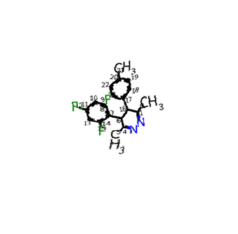 CC1=NN=C(C)C(c2c(F)cc(F)cc2F)C1c1ccc(C)cc1